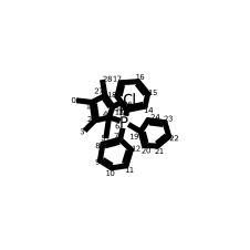 CC1=C(C)C(C)([PH](c2ccccc2)(c2ccccc2)c2ccccc2)C(Cl)=C1C